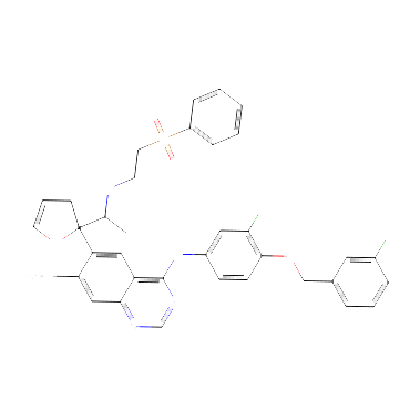 COc1cc2ncnc(Nc3ccc(OCc4cccc(F)c4)c(Cl)c3)c2cc1C1(C(C)NCCS(=O)(=O)c2ccccc2)CC=CO1